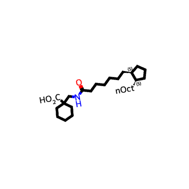 CCCCCCCC[C@H]1CCC[C@@H]1CCCCCCC(=O)NCC1(C(=O)O)CCCCC1